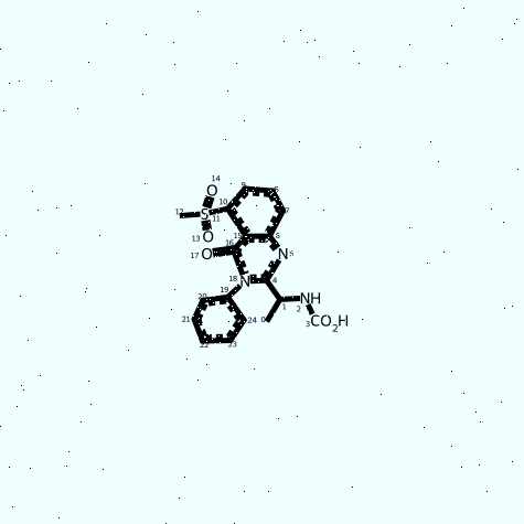 CC(NC(=O)O)c1nc2cccc(S(C)(=O)=O)c2c(=O)n1-c1ccccc1